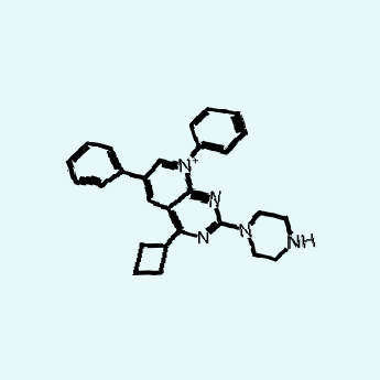 c1ccc(-c2cc3c(C4CCC4)nc(N4CCNCC4)nc3[n+](-c3ccccc3)c2)cc1